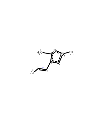 CC(=O)/C=C/c1cn(C)nc1C